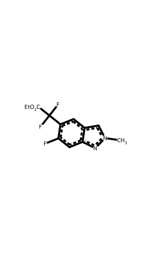 CCOC(=O)C(F)(F)c1cc2cn(C)nc2cc1F